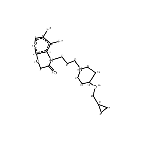 O=C1COc2ccc(F)c(F)c2N1CCCN1CCC(OCC2CC2)CC1